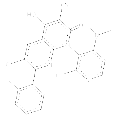 CC(C)c1nccc(N(C)C)c1-n1c(=O)c(C#N)c(O)c2cc(Cl)c(-c3ccccc3F)nc21